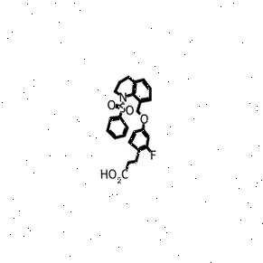 O=C(O)CCc1ccc(OCc2cccc3c2N(S(=O)(=O)c2ccccc2)CCC3)cc1F